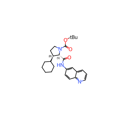 CC(C)(C)OC(=O)N1CC[C@H](C2CCCCC2)[C@H]1C(=O)Nc1ccc2ncccc2c1